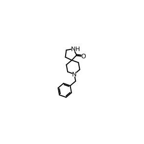 O=C1NCCC12CCN(Cc1ccccc1)CC2